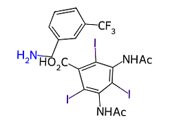 CC(=O)Nc1c(I)c(NC(C)=O)c(I)c(C(=O)O)c1I.NCc1cccc(C(F)(F)F)c1